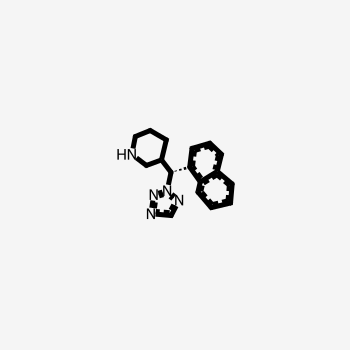 c1ccc2c([C@@H](C3CCCNC3)n3ncnn3)cccc2c1